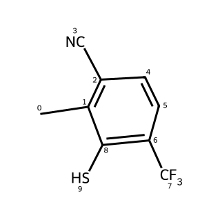 Cc1c(C#N)ccc(C(F)(F)F)c1S